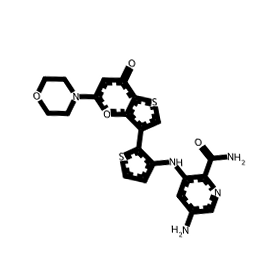 NC(=O)c1ncc(N)cc1Nc1ccsc1-c1csc2c(=O)cc(N3CCOCC3)oc12